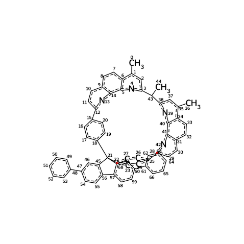 Cc1cc2nc3c1ccc1ccc(nc13)-c1ccc(cc1)C1(c3ccc(cc3)-c3ccc4ccc5c(C)cc(nc5c4n3)C2C)c2cc(-c3ccccc3)ccc2-c2ccc(-c3ccccc3)cc21